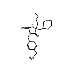 CCCCC1(CC2CCCCC2)NC(=N)N(CC2C=CC(CN)=CC2)C1=O